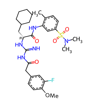 COc1ccc(CC(=O)NC(=N)N[C@H](CC2CCCCC2)C(=O)Nc2cc(S(=O)(=O)N(C)C)ccc2C)cc1F